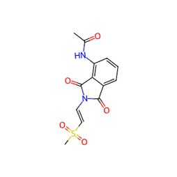 CC(=O)Nc1cccc2c1C(=O)N(/C=C/S(C)(=O)=O)C2=O